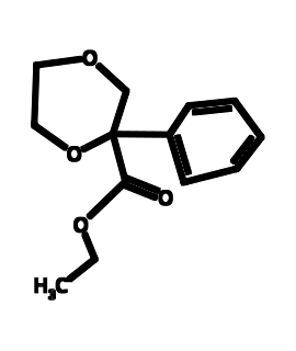 CCOC(=O)C1(c2ccccc2)COCCO1